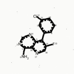 Nc1ncnc2c(-c3cccc(Cl)c3)c(F)cnc12